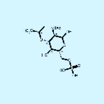 CC(=O)N[C@H]1C(O)O[C@H](COP(=O)(O)O)[C@@H](O)[C@@H]1O[C@H](C)C(=O)O